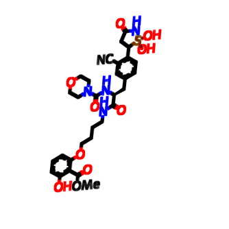 COC(=O)c1c(O)cccc1OCCCCNC(=O)[C@H](Cc1ccc(C2CC(=O)NS2(O)O)c(C#N)c1)NC(=O)N1CCOCC1